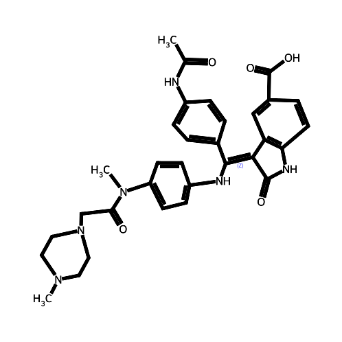 CC(=O)Nc1ccc(/C(Nc2ccc(N(C)C(=O)CN3CCN(C)CC3)cc2)=C2/C(=O)Nc3ccc(C(=O)O)cc32)cc1